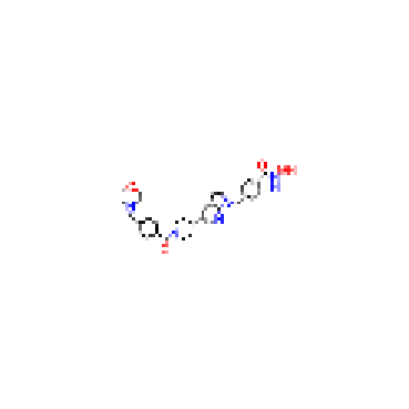 O=C(NO)c1ccc(Cn2ccc3cc(C4CCN(C(=O)c5ccc(CN6CCOCC6)cc5)CC4)cnc32)cc1